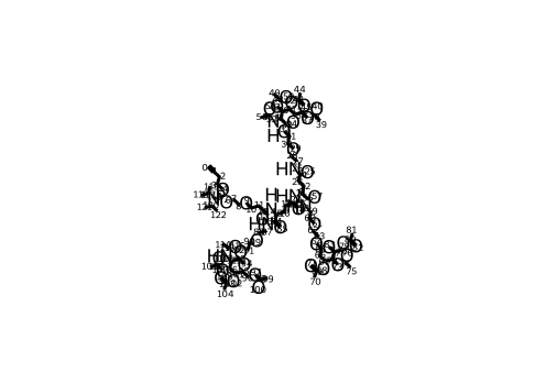 C#CCCOP(OCCOCCC(=O)NC(CCC(=O)NC(CCC(=O)NCCOCCOC1OC(COC(C)=O)C(OC(C)=O)C(OC(C)=O)C1NC(C)=O)C(=O)NCCOCCOC1CC(OC(C)=O)C(OC(C)=O)C(COC(C)=O)O1)C(=O)NCCOCCOC1OC(COC(C)=O)C(OC(C)=O)C(OC(C)=O)C1NC(C)=O)N(C(C)C)C(C)C